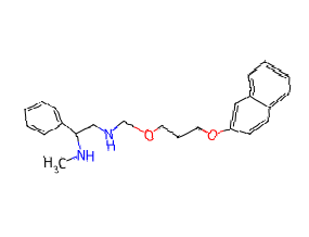 CNC(CNCOCCCOc1ccc2ccccc2c1)c1ccccc1